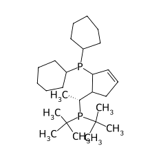 C[C@H](C1CC=CC1P(C1CCCCC1)C1CCCCC1)P(C(C)(C)C)C(C)(C)C